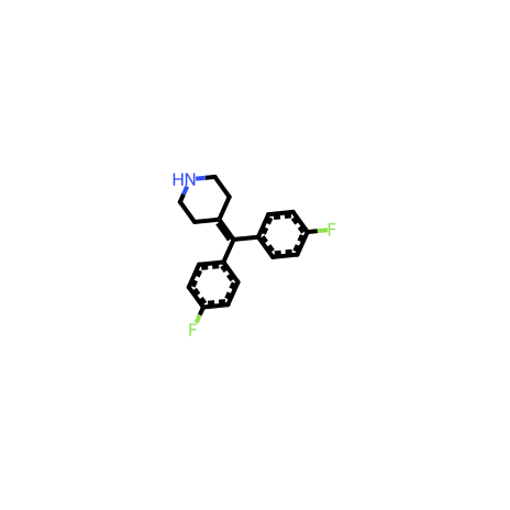 Fc1ccc(C(=C2CCNCC2)c2ccc(F)cc2)cc1